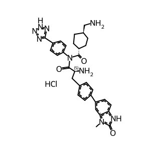 Cl.Cn1c(=O)[nH]c2ccc(-c3ccc(C[C@H](N)C(=O)N(c4ccc(-c5nn[nH]n5)cc4)C(=O)[C@H]4CC[C@H](CN)CC4)cc3)cc21